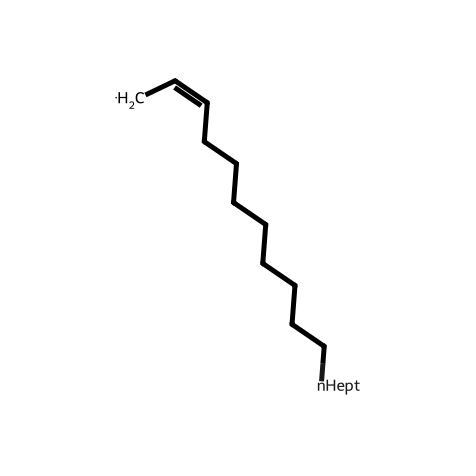 [CH2]/C=C\CCCCCCCCCCCCCCC